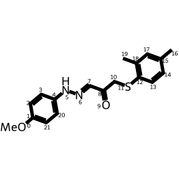 COc1ccc(NN=CC(=O)CSc2ccc(C)cc2C)cc1